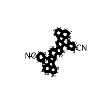 N#Cc1ccc(-c2c3c(cc4c2ccc2c5cc6c(c(-c7ccc(C#N)cc7F)c5ccc42)-c2cccc4cccc-6c24)-c2cccc4cccc-3c24)c(F)c1